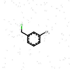 FC(F)(F)c1cccc([CH]Cl)c1